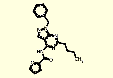 CCCCc1nc(NC(=O)c2ccco2)c2cnn(Cc3ccccc3)c2n1